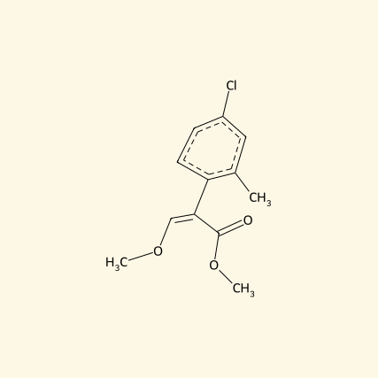 COC=C(C(=O)OC)c1ccc(Cl)cc1C